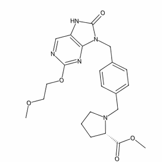 COCCOc1ncc2[nH]c(=O)n(Cc3ccc(CN4CCC[C@H]4C(=O)OC)cc3)c2n1